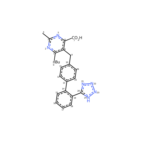 CCCCc1nc(C)nc(C(=O)O)c1Cc1ccc(-c2ccccc2-c2nnn[nH]2)cc1